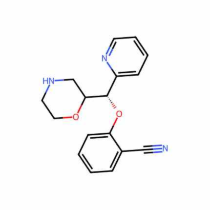 N#Cc1ccccc1O[C@@H](c1ccccn1)C1CNCCO1